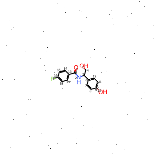 O=C(NC(CO)c1ccc(O)cc1)c1ccc(F)cc1